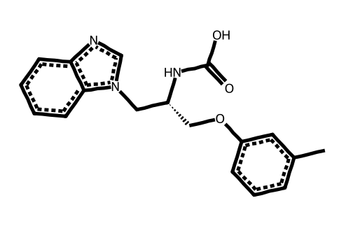 Cc1cccc(OC[C@H](Cn2cnc3ccccc32)NC(=O)O)c1